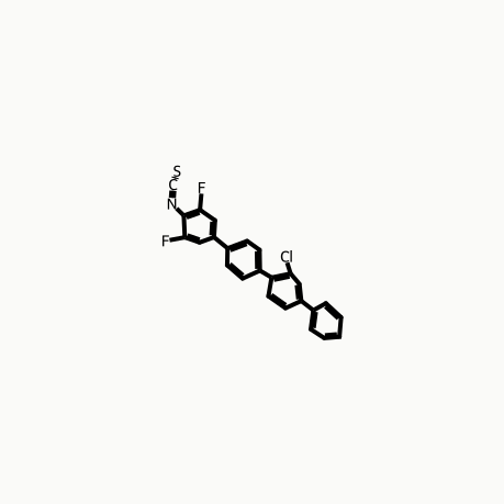 Fc1cc(-c2ccc(-c3ccc(-c4ccccc4)cc3Cl)cc2)cc(F)c1N=C=S